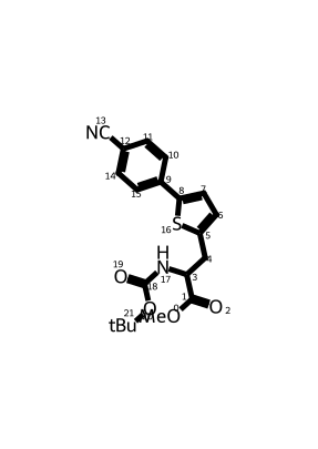 COC(=O)C(Cc1ccc(-c2ccc(C#N)cc2)s1)NC(=O)OC(C)(C)C